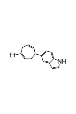 CCC1=CCC(c2ccc3[nH]ccc3c2)C=CC1